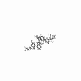 CN(C)CCNc1cc(F)cc(-c2cccc3[nH]c(-c4n[nH]c5ccc(-c6cncc(NC(=O)C7CCC7)c6)nc45)cc23)c1